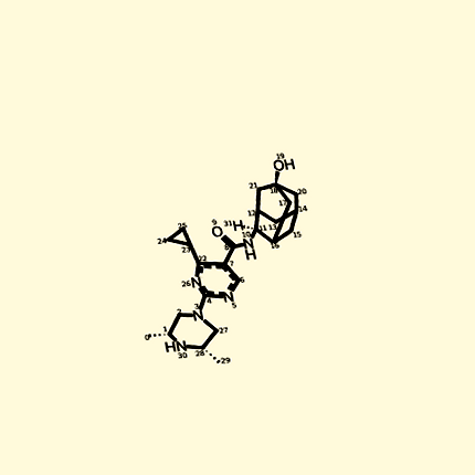 C[C@@H]1CN(c2ncc(C(=O)N[C@H]3C4CC5CC3C[C@@](O)(C5)C4)c(C3CC3)n2)C[C@H](C)N1